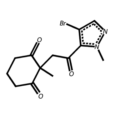 Cn1ncc(Br)c1C(=O)CC1(C)C(=O)CCCC1=O